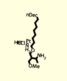 CCCCCCCCCCCCCCCCCCOCC(COC)C(C)N.Cl.Cl.[NH2][Pt]